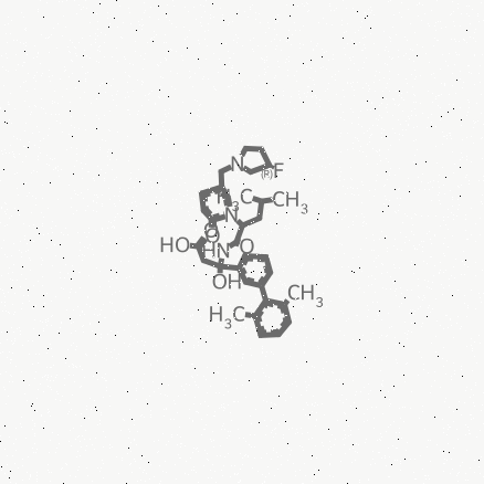 Cc1cccc(C)c1-c1cccc(C(O)(CC(=O)O)NC(=O)C(CC(C)C)n2cc(CN3CC[C@@H](F)C3)ccc2=O)c1